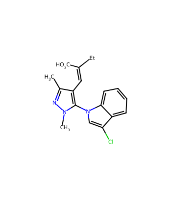 CCC(=Cc1c(C)nn(C)c1-n1cc(Cl)c2ccccc21)C(=O)O